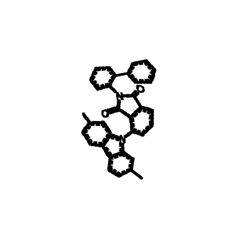 Cc1ccc2c3ccc(C)cc3n(-c3cccc4c3C(=O)N(c3ccccc3-c3ccccc3)C4=O)c2c1